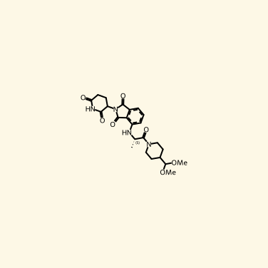 COC(OC)C1CCN(C(=O)[C@H](C)Nc2cccc3c2C(=O)N(C2CCC(=O)NC2=O)C3=O)CC1